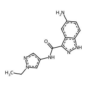 CCn1cc(NC(=O)c2n[nH]c3ccc(N)cc23)cn1